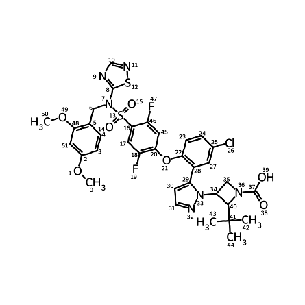 COc1ccc(CN(c2ncns2)S(=O)(=O)c2cc(F)c(Oc3ccc(Cl)cc3-c3ccnn3C3CN(C(=O)O)C3C(C)(C)C)cc2F)c(OC)c1